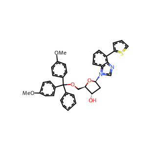 COc1ccc(C(OC[C@H]2O[C@@H](n3cnc4c(-c5cccs5)cccc43)C[C@@H]2O)(c2ccccc2)c2ccc(OC)cc2)cc1